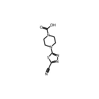 N#Cc1nnc(N2CCN(C(=O)O)CC2)s1